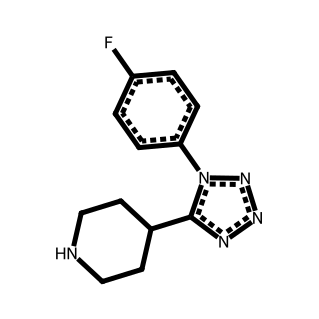 Fc1ccc(-n2nnnc2C2CCNCC2)cc1